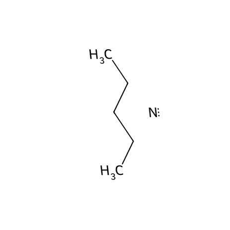 CCCCC.[N]